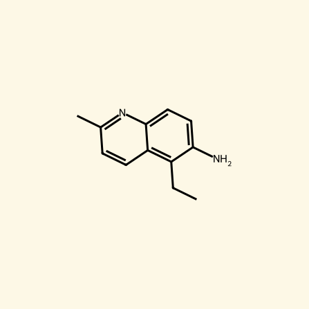 CCc1c(N)ccc2nc(C)ccc12